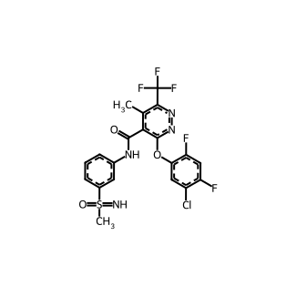 Cc1c(C(F)(F)F)nnc(Oc2cc(Cl)c(F)cc2F)c1C(=O)Nc1cccc(S(C)(=N)=O)c1